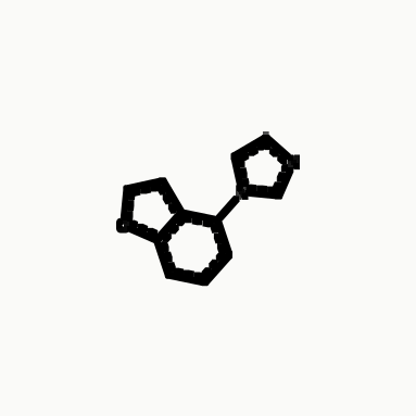 [c]1cn(-c2cccc3occc23)cn1